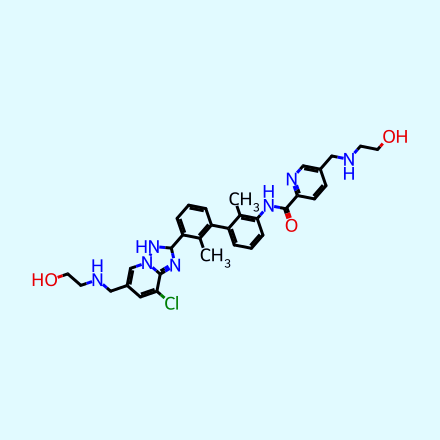 Cc1c(NC(=O)c2ccc(CNCCO)cn2)cccc1-c1cccc(C2N=C3C(Cl)=CC(CNCCO)=CN3N2)c1C